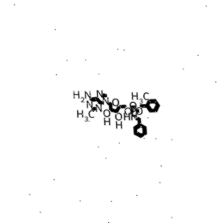 Cc1nc(N)c2ncn(C3OC(COP(=O)(NCc4ccccc4)OCc4ccccc4C)C(O)C3O)c2n1